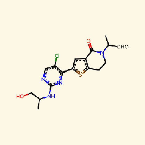 CC(CO)Nc1ncc(Cl)c(-c2cc3c(s2)CCN(C(C)C=O)C3=O)n1